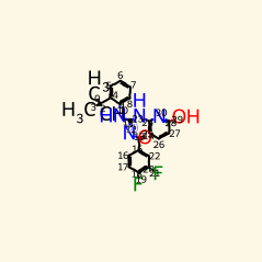 CC(C)(C)c1ccccc1N/C(=N/C(=O)c1ccc(F)c(F)c1)Nc1cccc(O)n1